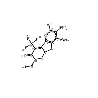 Nc1c(Cl)cc2c(c1N)CC1C[C@@H](CI)C(=O)C(C(F)(F)F)=C21